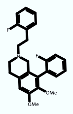 COc1cc2c(c(-c3ccccc3F)c1OC)CN(CCc1ccccc1F)CC2